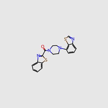 O=C(c1nc2ccccc2s1)N1CCN(c2cccc3ncsc23)CC1